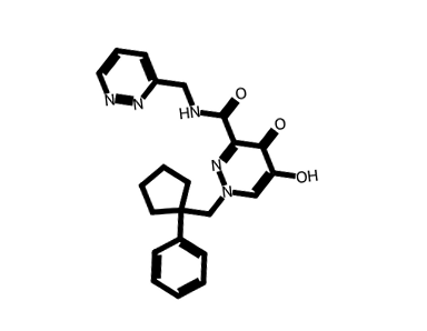 O=C(NCc1cccnn1)c1nn(CC2(c3ccccc3)CCCC2)cc(O)c1=O